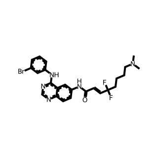 CN(C)CCCCC(F)(F)C=CC(=O)Nc1ccc2ncnc(Nc3cccc(Br)c3)c2c1